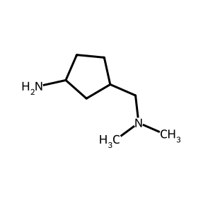 CN(C)CC1CCC(N)C1